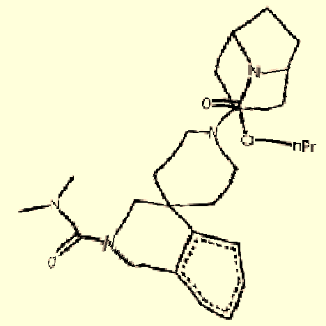 CCCOC(=O)N1C2CCC1CC(N1CCC3(CC1)CN(C(=O)N(C)C)Cc1ccccc13)C2